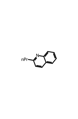 C[CH]Cc1ccc2ccccc2n1